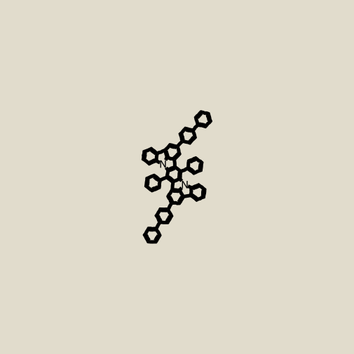 c1ccc(-c2ccc(-c3cc4c5ccccc5n5c6c(-c7ccccc7)c7c8cc(-c9ccc(-c%10ccccc%10)cc9)cc9c%10ccccc%10n(c7c(-c7ccccc7)c6c(c3)c45)c98)cc2)cc1